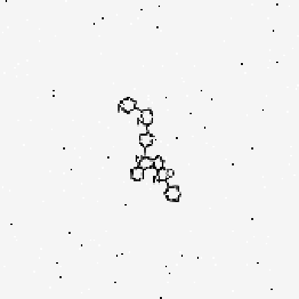 c1ccc(-c2nc3c(ccc4c(-c5ccc(-c6cccc(-c7cccnc7)n6)cc5)nc5ccccc5c43)o2)cc1